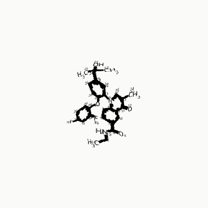 CCNC(=O)c1ccc2c(c1)c(=O)c(C)cn2-c1cc(C(C)(C)O)ccc1Oc1ccc(F)cc1F